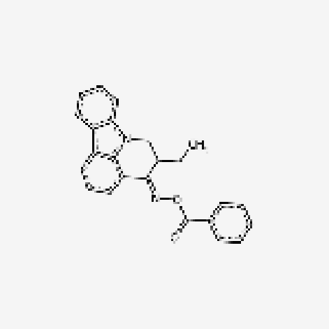 CCC1Cn2c3ccccc3c3cccc(c32)/C1=N/OC(=O)c1ccccc1